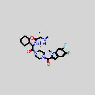 CN[C@@H](C)C(=O)NC(C(=O)N1CCN(C(=O)c2cc3cc(F)c(F)cc3n2C)C[C@H]1C)C1CCCCC1